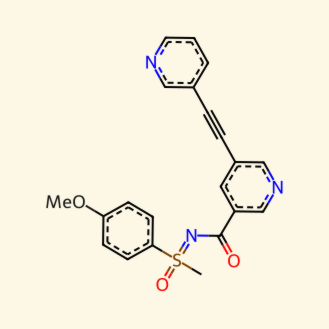 COc1ccc(S(C)(=O)=NC(=O)c2cncc(C#Cc3cccnc3)c2)cc1